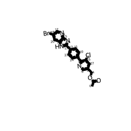 CC(=O)OCc1cnc(-c2ccc(-c3nc4ncc(Br)cc4[nH]3)cc2)c(Cl)c1